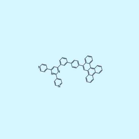 c1cc(-c2ccc(-c3cc4c5ccccc5c5ccccc5c4c4ccccc34)cc2)cc(-c2cc(-c3ccncc3)nc(-c3ccncc3)n2)c1